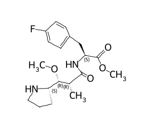 COC(=O)[C@H](Cc1ccc(F)cc1)NC(=O)[C@H](C)[C@@H](OC)[C@@H]1CCCN1